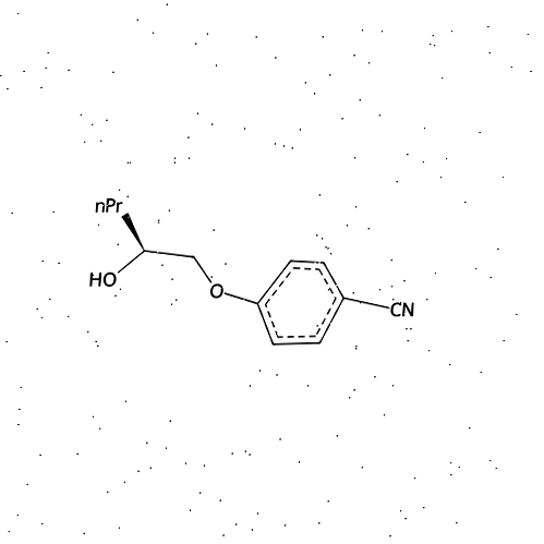 CCC[C@H](O)COc1ccc(C#N)cc1